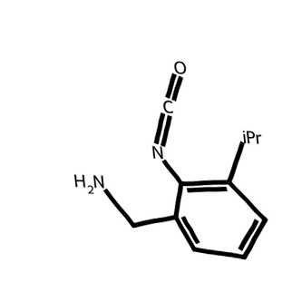 CC(C)c1cccc(CN)c1N=C=O